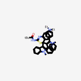 CCN(CC)c1ccc2c(c1)N=C(NC(=O)C(C)(C)C)SC2(c1c(-c2ccccc2)n(C)c2ccccc12)c1c(-c2ccccc2)n(C)c2ccccc12